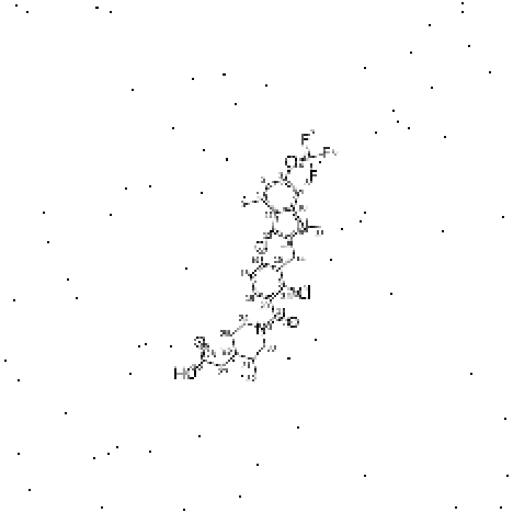 Cc1cc(OC(F)(F)F)cc2c1cc(Cc1c(Cl)ccc(C(=O)N3CCC(CC(=O)O)C(C)C3)c1Cl)n2C